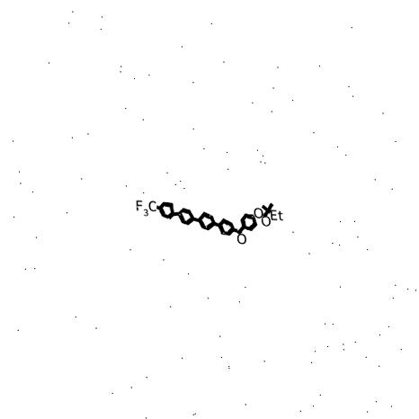 CCC(C)(C)C(=O)Oc1ccc(C(=O)c2ccc(-c3ccc(-c4ccc(-c5ccc(C(F)(F)F)cc5)cc4)cc3)cc2)cc1